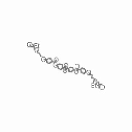 CCC1(COCCCCOc2ccc(C(=O)Oc3ccc(S(=O)(=O)c4ccc(OC(=O)c5ccc(OCCCCOCC6(CC)COC6)cc5)cc4)cc3)cc2)COC1